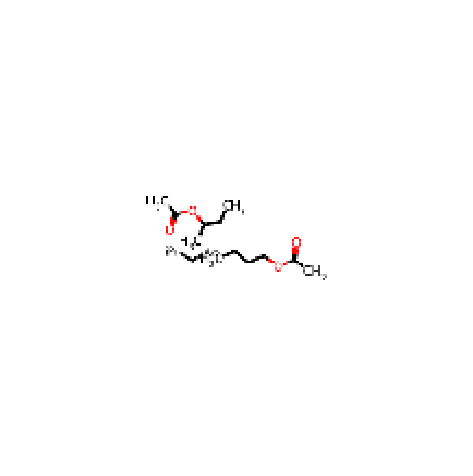 CC(=O)CC(C)C.CCC(C)OC(C)=O.CCCCOC(C)=O